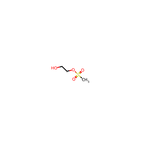 CS(=O)(=O)O[CH]CO